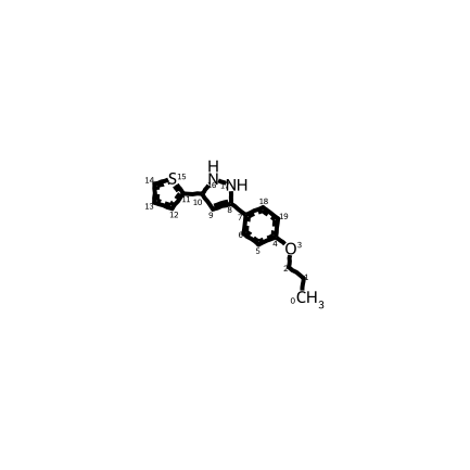 CCCOc1ccc(C2=CC(c3cccs3)NN2)cc1